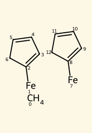 C.[Fe][C]1=CC=CC1.[Fe][C]1=CC=CC1